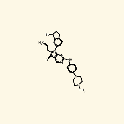 C=CCn1c(=O)c2cnc(Nc3ccc(N4CCN(C)CC4)cc3)nc2n1-c1ccc2c(n1)C(CC)CC2